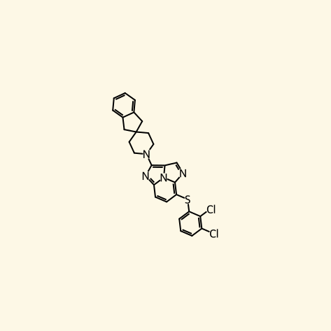 Clc1cccc(Sc2ccc3nc(N4CCC5(CC4)Cc4ccccc4C5)c4cnc2n34)c1Cl